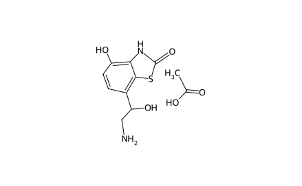 CC(=O)O.NCC(O)c1ccc(O)c2[nH]c(=O)sc12